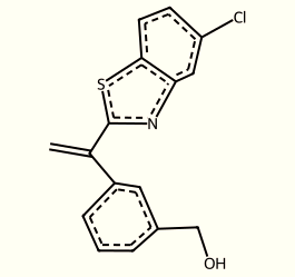 C=C(c1cccc(CO)c1)c1nc2cc(Cl)ccc2s1